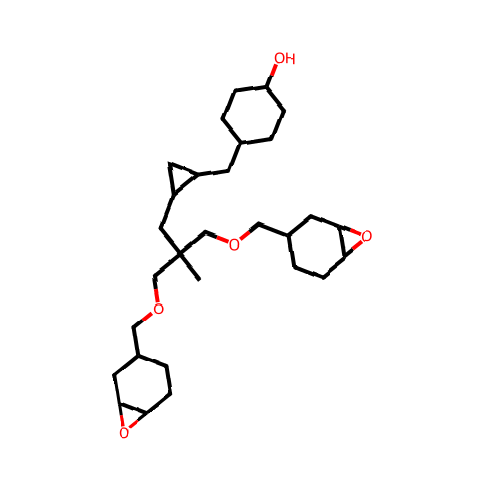 CC(COCC1CCC2OC2C1)(COCC1CCC2OC2C1)CC1CC1CC1CCC(O)CC1